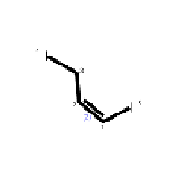 I/C=C\CI